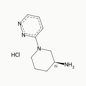 Cl.N[C@H]1CCCN(c2cccnn2)C1